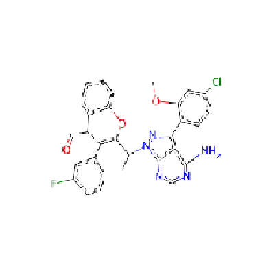 COc1cc(Cl)ccc1-c1nn(C(C)C2=C(c3cccc(F)c3)C(C=O)c3ccccc3O2)c2ncnc(N)c12